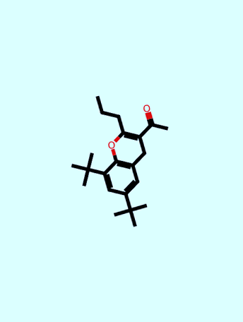 CCCC1=C(C(C)=O)Cc2cc(C(C)(C)C)cc(C(C)(C)C)c2O1